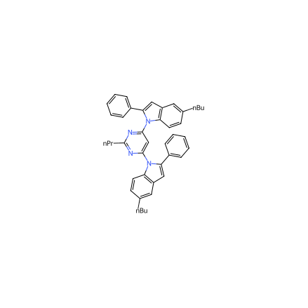 CCCCc1ccc2c(c1)cc(-c1ccccc1)n2-c1cc(-n2c(-c3ccccc3)cc3cc(CCCC)ccc32)nc(CCC)n1